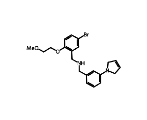 COCCOc1ccc(Br)cc1CNCc1cccc(N2CC=CC2)c1